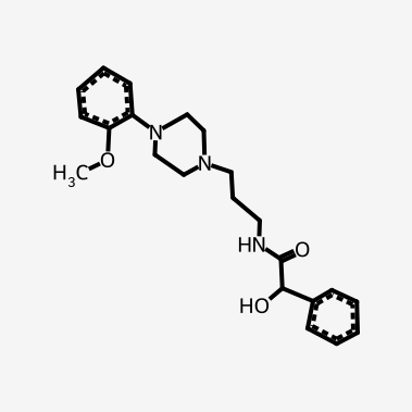 COc1ccccc1N1CCN(CCCNC(=O)C(O)c2ccccc2)CC1